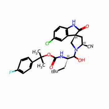 CC(C)(C)C[C@H](NC(=O)OC(C)(C)c1ccc(F)cc1)C(O)N1C[C@]2(C[C@H]1C#N)C(=O)Nc1ccc(Cl)cc12